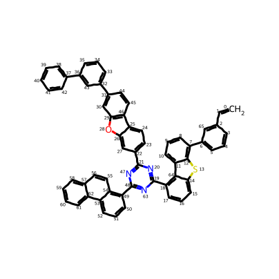 C=Cc1cccc(-c2cccc3c2sc2cccc(-c4nc(-c5ccc6c(c5)oc5cc(-c7cccc(-c8ccccc8)c7)ccc56)nc(-c5cccc6c5ccc5ccccc56)n4)c23)c1